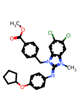 COC(=O)c1ccc(Cn2c(=Nc3ccc(OC4CCCC4)cc3)n(C)c3cc(Cl)c(Cl)cc32)cc1